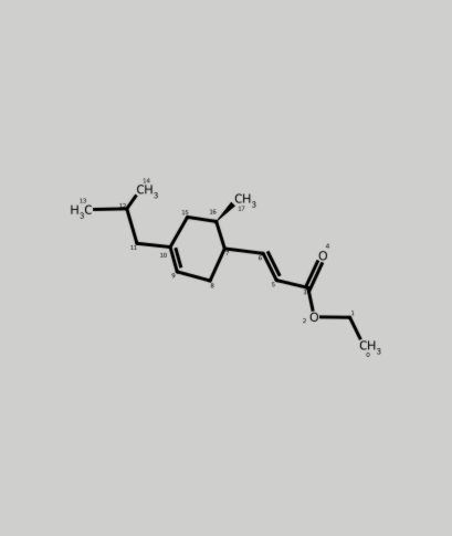 CCOC(=O)C=CC1CC=C(CC(C)C)C[C@H]1C